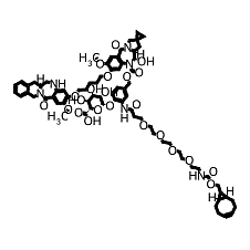 COc1cc2c(cc1OCCCCCOc1cc3c(cc1OC)C(=O)N1CC4(CC4)C[C@H]1[C@H](O)N3C(=O)OCc1ccc(O[C@@H]3O[C@H](C(=O)O)[C@@H](O)[C@H](O)[C@H]3O)c(NC(=O)CCOCCOCCOCCOCCNC(=O)OCC3[C@H]4CCC#CCC[C@@H]34)c1)NC[C@@H]1Cc3ccccc3CN1C2=O